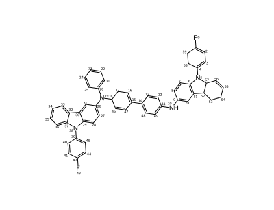 FC1=CC=C(N2c3ccc(Nc4ccc(C5=CCC(N(c6ccccc6)c6ccc7c(c6)c6ccccc6n7-c6ccc(F)cc6)C=C5)cc4)cc3C3CCC=CC32)CC1